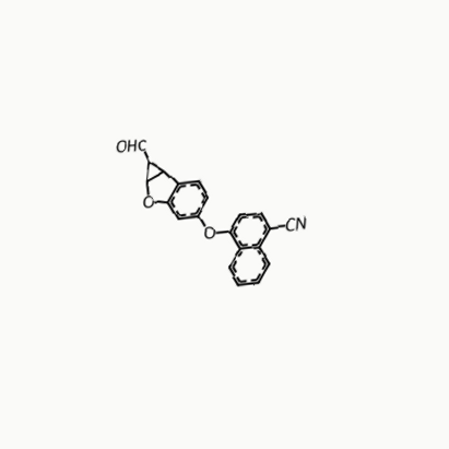 N#Cc1ccc(Oc2ccc3c(c2)OC2C(C=O)C32)c2ccccc12